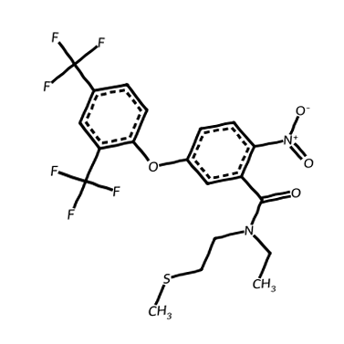 CCN(CCSC)C(=O)c1cc(Oc2ccc(C(F)(F)F)cc2C(F)(F)F)ccc1[N+](=O)[O-]